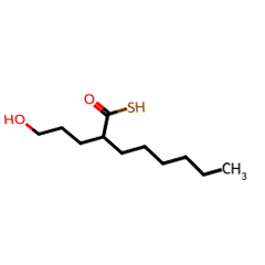 CCCCCCC(CCCO)C(=O)S